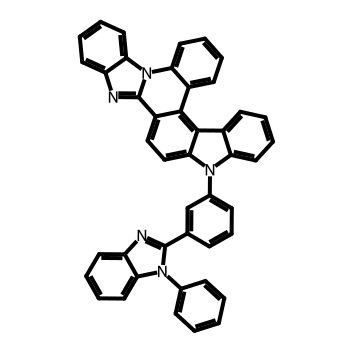 c1ccc(-n2c(-c3cccc(-n4c5ccccc5c5c6c7ccccc7n7c8ccccc8nc7c6ccc54)c3)nc3ccccc32)cc1